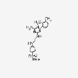 CNS(=O)(=O)c1ccc(NCCNc2cc(-c3cccc(C)c3C)nc(N)n2)cc1